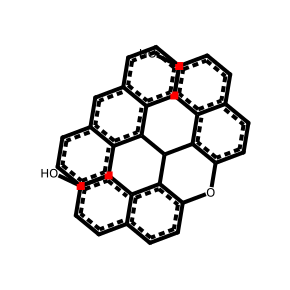 Oc1ccc2ccc3c(c2c1)C(c1c2ccccc2cc2ccccc12)c1c(ccc2ccc(O)cc12)O3